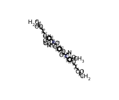 C=CC(=O)OCCCCOc1ccc(/C=C(\C#N)C(=O)Oc2ccc(OC(=O)/C(C#N)=C/c3ccc(OCCCCOC(=O)C=C)c(OC)c3)cc2)cc1OC